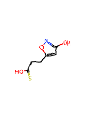 OC(=S)CCc1cc(O)no1